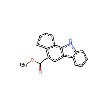 CC(C)(C)OC(=O)c1cc2c3ccccc3[nH]c2c2ccccc12